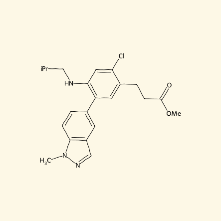 COC(=O)CCc1cc(-c2ccc3c(cnn3C)c2)c(NCC(C)C)cc1Cl